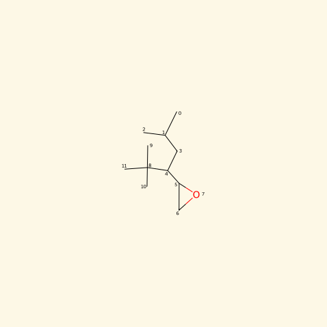 CC(C)CC(C1CO1)C(C)(C)C